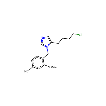 COc1cc(C#N)ccc1Cn1cncc1CCCCCl